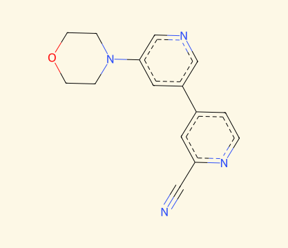 N#Cc1cc(-c2cncc(N3CCOCC3)c2)ccn1